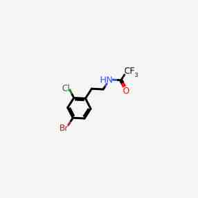 O=C(NCCc1ccc(Br)cc1Cl)C(F)(F)F